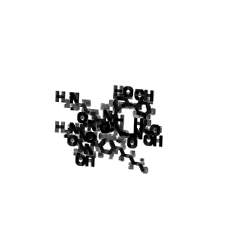 CCCCCCc1ccc(C(=O)N(C)[C@H](CO)C(=O)N[C@H](N)C(=O)N[C@@H](CCCCN)C(=O)N(C)[C@@H]2C(=O)N[C@@H](C)C(=O)NC(C(=O)O)Cc3ccc(O)c(c3)-c3cc2ccc3O)cc1